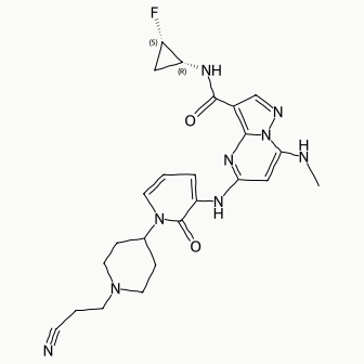 CNc1cc(Nc2cccn(C3CCN(CCC#N)CC3)c2=O)nc2c(C(=O)N[C@@H]3C[C@@H]3F)cnn12